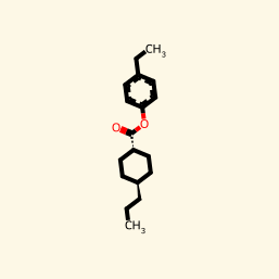 CCC[C@H]1CC[C@H](C(=O)Oc2ccc(CC)cc2)CC1